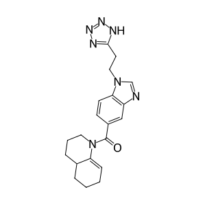 O=C(c1ccc2c(c1)ncn2CCc1nnn[nH]1)N1CCCC2CCCC=C21